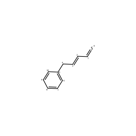 S=CC=CCc1ccccc1